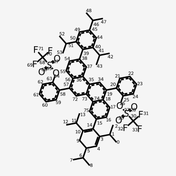 CC(C)C1=CC(C(C)C)CC(C(C)C)=C1c1ccc2c(-c3ccccc3OS(=O)(=O)C(F)(F)F)cc3c4cc(-c5c(C(C)C)cc(C(C)C)cc5C(C)C)ccc4c(-c4ccccc4OS(=O)(=O)C(F)(F)F)cc3c2c1